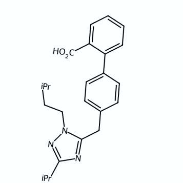 CC(C)CCn1nc(C(C)C)nc1Cc1ccc(-c2ccccc2C(=O)O)cc1